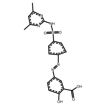 Cc1cc(C)nc(NS(=O)(=O)c2ccc(N=Nc3ccc(O)c(C(=O)O)c3)cc2)n1